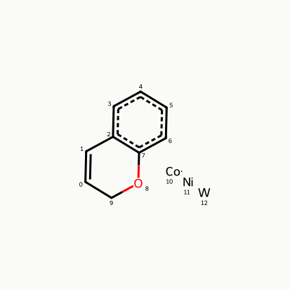 C1=Cc2ccccc2OC1.[Co].[Ni].[W]